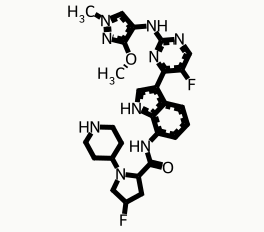 COc1nn(C)cc1Nc1ncc(F)c(-c2c[nH]c3c(NC(=O)C4CC(F)CN4C4CCNCC4)cccc23)n1